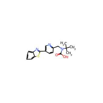 CC(C)(C)N(Cc1ccc(-c2nc3ccccc3s2)cn1)C(=O)O